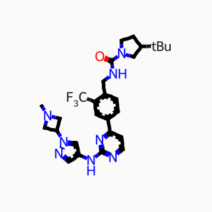 CN1CC(n2cc(Nc3nccc(-c4ccc(CNC(=O)N5CCC(C(C)(C)C)C5)c(C(F)(F)F)c4)n3)cn2)C1